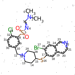 CN(C)/C=N/S(=O)(=O)c1cc(CN2CCC(Sc3cc4ccncc4cc3Br)CC2)ccc1Cl